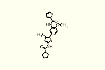 COc1ccc(-c2sc(NC(=O)C3CCCC3)nc2C)cc1NC(=O)c1cccs1